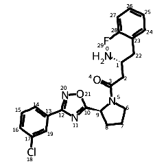 N[C@@H](CC(=O)N1CCC[C@H]1c1nc(-c2cccc(Cl)c2)no1)Cc1ccccc1F